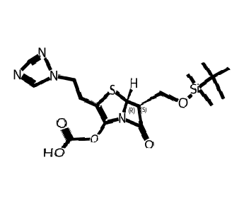 CC(C)(C)[Si](C)(C)OC[C@H]1C(=O)N2C(OC(=O)O)=C(CCn3cncn3)S[C@H]12